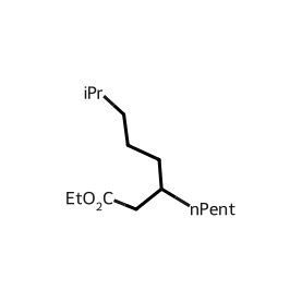 CCCCCC(CCCC(C)C)CC(=O)OCC